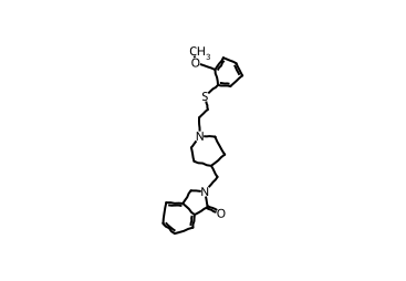 COc1ccccc1SCCN1CCC(CN2Cc3ccccc3C2=O)CC1